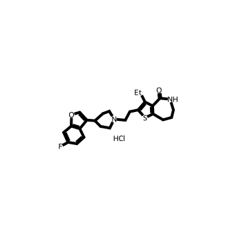 CCc1c(CCN2CCC(c3coc4cc(F)ccc34)CC2)sc2c1C(=O)NCCC2.Cl